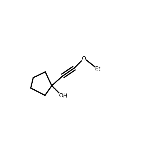 CCOC#CC1(O)CCCC1